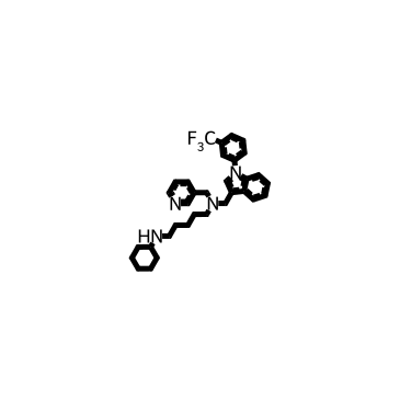 FC(F)(F)c1cccc(-n2cc(CN(CCCCCNC3CCCCC3)Cc3cccnc3)c3ccccc32)c1